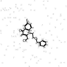 O=c1c(I)c(CCl)n(CCOCc2ccccc2)c2ccc(F)cc12